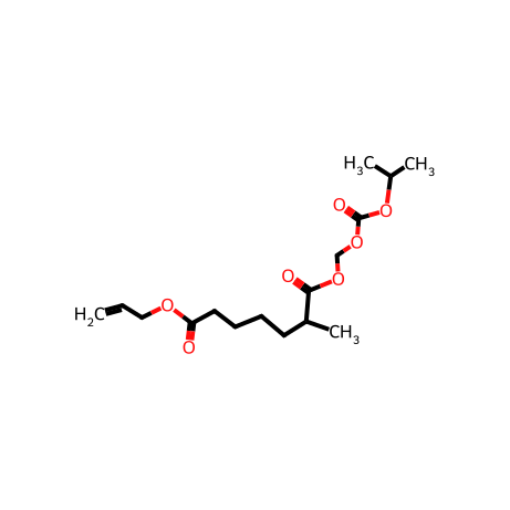 C=CCOC(=O)CCCCC(C)C(=O)OCOC(=O)OC(C)C